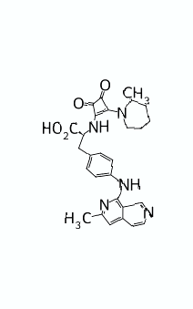 Cc1cc2ccncc2c(Nc2ccc(C[C@H](Nc3c(N4CCCCC4C)c(=O)c3=O)C(=O)O)cc2)n1